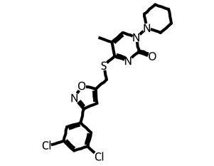 Cc1cn(N2CCCCC2)c(=O)nc1SCc1cc(-c2cc(Cl)cc(Cl)c2)no1